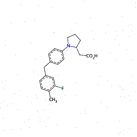 Cc1ccc(Cc2ccc(N3CCCC3CC(=O)O)cc2)cc1F